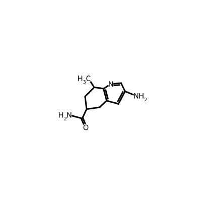 CC1CC(C(N)=O)Cc2cc(N)cnc21